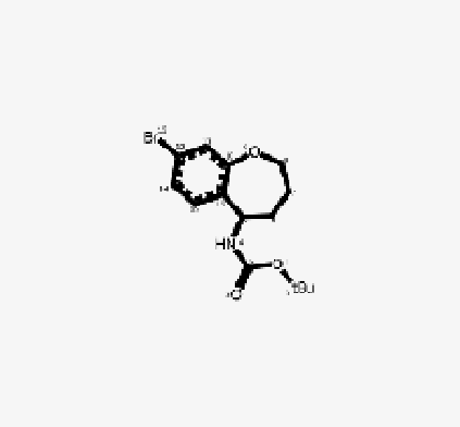 CC(C)(C)OC(=O)NC1CCCOc2cc(Br)ccc21